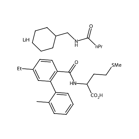 CCCC(=O)NCC1CCCCC1.CCc1ccc(C(=O)NC(CCSC)C(=O)O)c(-c2ccccc2C)c1.[LiH]